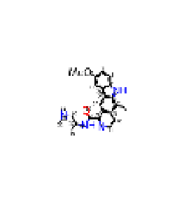 COc1ccc2[nH]c3c(C)c4ccnc(C(=O)NC(C)CN(C)C)c4cc3c2c1